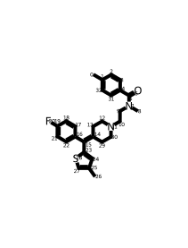 Cc1ccc(C(=O)N(C)CCN2CCC(=C(c3ccc(F)cc3)c3cc(C)cs3)CC2)cc1